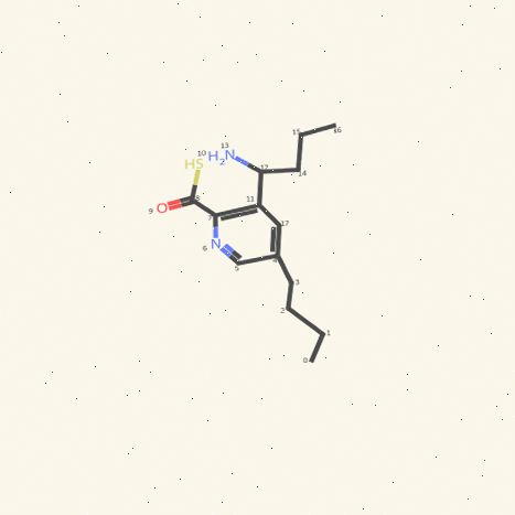 CCCCc1cnc(C(=O)S)c(C(N)CCC)c1